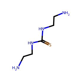 NCCNC(=S)NCCN